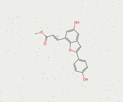 COC(=O)/C=C/c1cc(O)cc2cc(-c3ccc(O)cc3)oc12